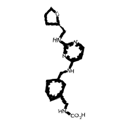 O=C(O)NCc1cccc(CNc2ccnc(NC[C@H]3CCCO3)n2)c1